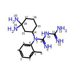 Cc1ccccc1N(C(=N)NC(=N)N)C1CCCC(N)(N)C1